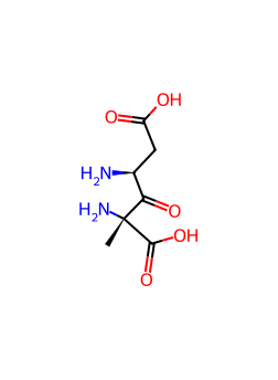 C[C@](N)(C(=O)O)C(=O)[C@@H](N)CC(=O)O